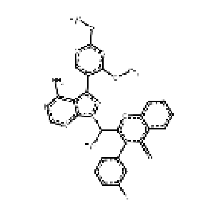 COc1ncc(-c2nn(C(C)c3oc4ccccc4c(=O)c3-c3cccc(F)c3)c3ncnc(N)c23)c(OC)n1